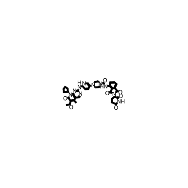 CC(=O)c1c(C)c2cnc(Nc3ccc(N4CCN(C(=O)Nc5cccc6c5C(=O)N(C5CCC(=O)NC5=O)C6=O)CC4)cn3)nc2n(C2CCCC2)c1=O